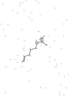 C=CCCCO[SiH](C)C